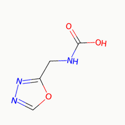 O=C(O)NCc1nnco1